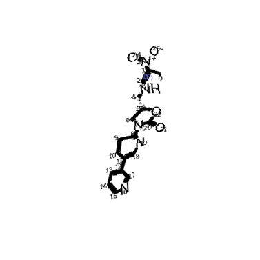 C/C(=C\NC[C@H]1CN(c2ccc(-c3cccnc3)cn2)C(=O)O1)[N+](=O)[O-]